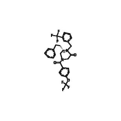 O=C(c1ccc(OC(F)(F)F)cc1)N1CC(=O)N(Cc2cccc(C(F)(F)F)c2)[C@@H](CCc2ccccc2)C1